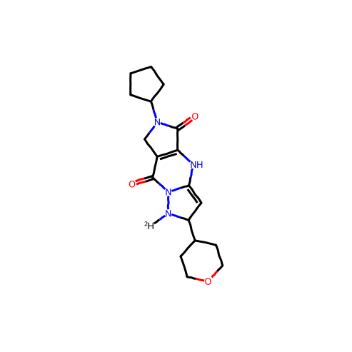 [2H]N1C(C2CCOCC2)C=C2NC3=C(CN(C4CCCC4)C3=O)C(=O)N21